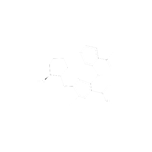 CC(=O)c1ccccc1Nc1nc(NC2CCCC[C@@H]2N)c(F)cc1C(N)=O